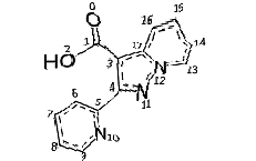 O=C(O)c1c(-c2ccccn2)nn2ccccc12